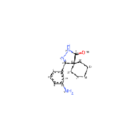 Nc1cccc(C2=NNC(=O)C23CCCCC3)c1